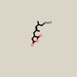 CCCC(C)CC(C)/C=C(\C)CC1CC(=O)OC1=O